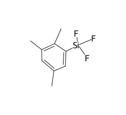 Cc1cc(C)c(C)c([Si](F)(F)F)c1